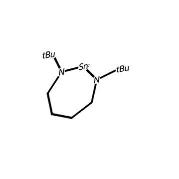 CC(C)(C)[N]1CCCC[N](C(C)(C)C)[Sn]1